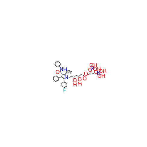 CC(C)c1c(C(=O)Nc2ccccc2)c(-c2ccccc2)c(-c2ccc(F)cc2)n1CC[C@@H](O)C[C@@H](O)CC(=O)OC[C@H](CON(O)O)ON(O)O